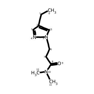 CCc1cnn(CCC(=O)N(C)C)c1